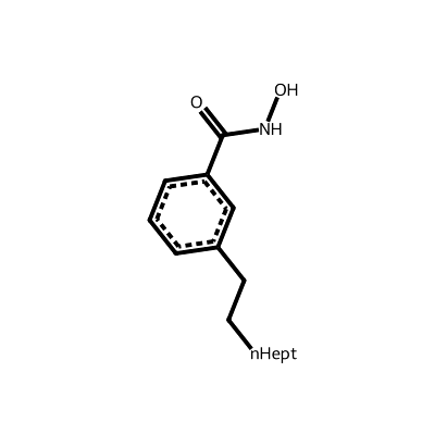 CCCCCCCCCc1cccc(C(=O)NO)c1